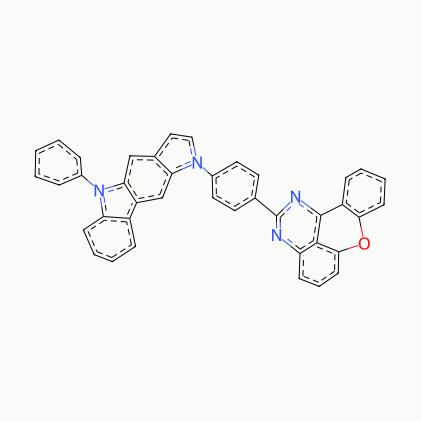 c1ccc(-n2c3ccccc3c3cc4c(ccn4-c4ccc(-c5nc6c7c(cccc7n5)Oc5ccccc5-6)cc4)cc32)cc1